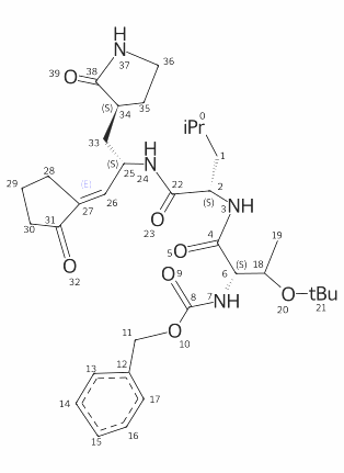 CC(C)C[C@H](NC(=O)[C@@H](NC(=O)OCc1ccccc1)C(C)OC(C)(C)C)C(=O)N[C@H](/C=C1\CCCC1=O)C[C@@H]1CCNC1=O